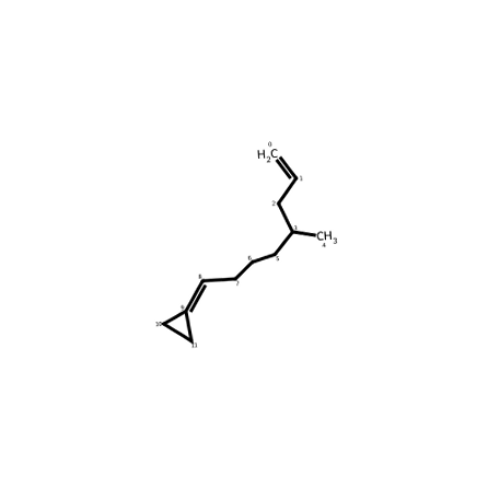 C=CCC(C)CCCC=C1CC1